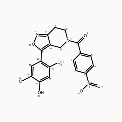 O=C(c1ccc([N+](=O)[O-])cc1)N1CCc2noc(-c3cc(Cl)c(O)cc3O)c2C1